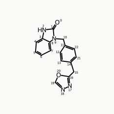 O=c1[nH]c2ccccc2n1Cc1ccc(Cc2nnco2)cc1